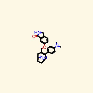 CN(C)c1ccc(C2=C(COc3ccc4c(c3)C(=O)NC4)CC3CCC(C2)N3)cc1